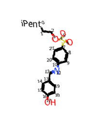 CCCC(C)CCOS(=O)(=O)c1ccc(N=Cc2ccc(O)cc2)cc1